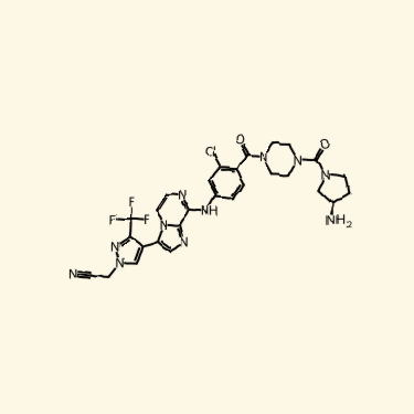 N#CCn1cc(-c2cnc3c(Nc4ccc(C(=O)N5CCN(C(=O)N6CC[C@@H](N)C6)CC5)c(Cl)c4)nccn23)c(C(F)(F)F)n1